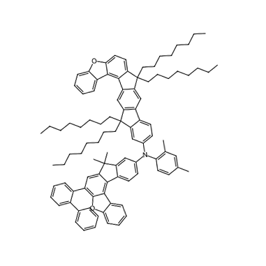 CCCCCCCCC1(CCCCCCCC)c2cc(N(c3ccc4c(c3)C(C)(C)c3cc(-c5ccccc5-c5ccccc5)c5oc6ccccc6c5c3-4)c3ccc(C)cc3C)ccc2-c2cc3c(cc21)-c1c(ccc2oc4ccccc4c12)C3(CCCCCCCC)CCCCCCCC